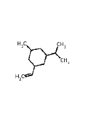 C=CC1CC(C)CC(C(C)C)C1